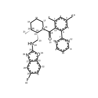 Cc1cc(F)cc(-c2ncccn2)c1C(=O)N1CCC[C@@H](C)[C@H]1CNc1nc2cc(F)ccc2o1